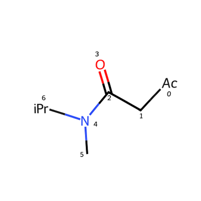 CC(=O)CC(=O)N(C)C(C)C